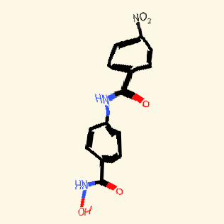 O=C(NO)c1ccc(NC(=O)c2ccc([N+](=O)[O-])cc2)cc1